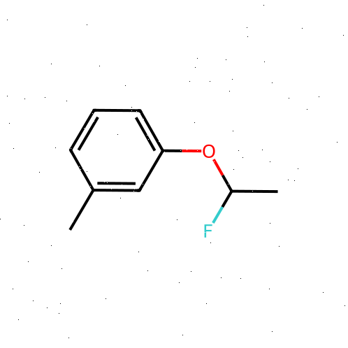 Cc1cccc(OC(C)F)c1